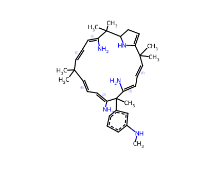 CNc1cccc(C2(C)/C(N)=C/C=C/C(C)(C)/C=C/C=C(\N)C(C)(C)C3CC=C(N3)C(C)(C)/C=C/C=C/2N)c1